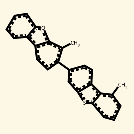 Cc1c(-c2ccc3c(c2)sc2cccc(C)c23)ccc2c1oc1ccccc12